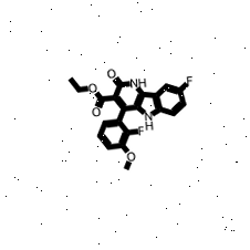 CCOC(=O)c1c(-c2cccc(OC)c2F)c2[nH]c3ccc(F)cc3c2[nH]c1=O